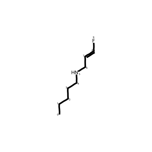 CCCCCNCC=CF